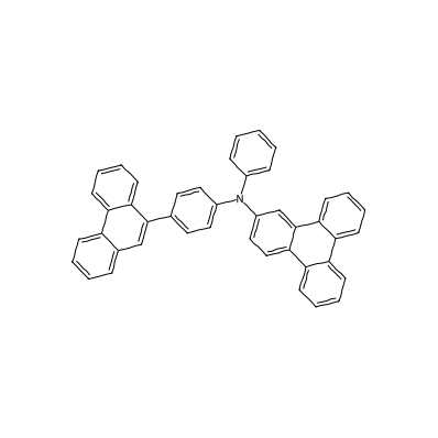 c1ccc(N(c2ccc(-c3cc4ccccc4c4ccccc34)cc2)c2ccc3c4ccccc4c4ccccc4c3c2)cc1